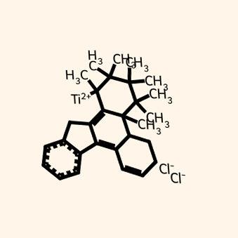 C[C]1([Ti+2])C2=C3Cc4ccccc4C3=C3C=CCCC3C2(C)C(C)(C)C(C)(C)C1(C)C.[Cl-].[Cl-]